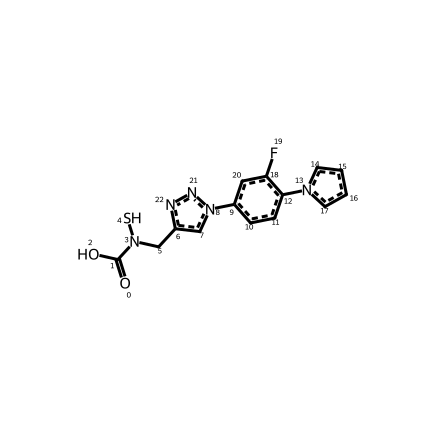 O=C(O)N(S)Cc1cn(-c2ccc(-n3cccc3)c(F)c2)nn1